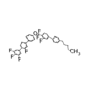 CCCCCc1ccc(-c2ccc(C(F)(F)Oc3ccc(-c4ccc(-c5cc(F)c(F)c(F)c5)c(F)c4)cc3)c(F)c2)cc1